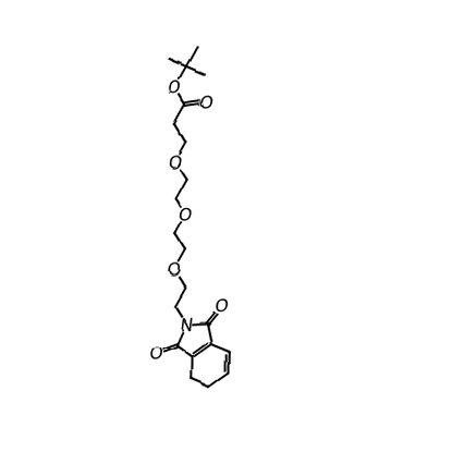 CC(C)(C)OC(=O)CCOCCOCCOCCN1C(=O)C2=C(CCC=C2)C1=O